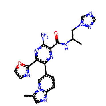 Cc1cnc2ccc(-c3nc(C(=O)NC(C)Cn4cncn4)c(N)nc3-c3ncco3)cn12